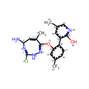 CC1=C/C(N)/N=C(/Cl)N/N=C\1Oc1cc(C(F)(F)F)ccc1-c1cc(C)cnc1O